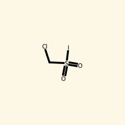 O=S(=O)(I)CCl